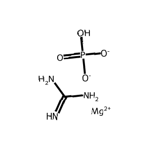 N=C(N)N.O=P([O-])([O-])O.[Mg+2]